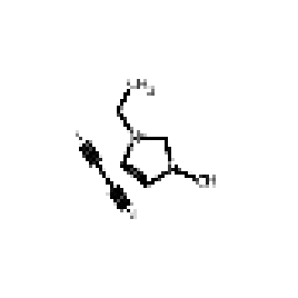 CCN1C=CN(C)C1.N#CC#N